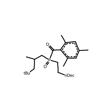 CCCCCCCCCCCCP(=O)(CC(C)CC(C)(C)C)C(=O)c1c(C)cc(C)cc1C